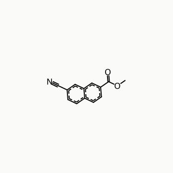 COC(=O)c1ccc2ccc(C#N)cc2c1